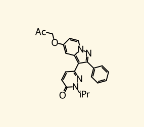 CC(=O)COc1ccn2nc(-c3ccccc3)c(-c3ccc(=O)n(C(C)C)n3)c2c1